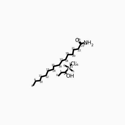 CCC(O)[N+](C)(C)C.CCCCCCCCCCCCCCCC(N)=O.[Cl-]